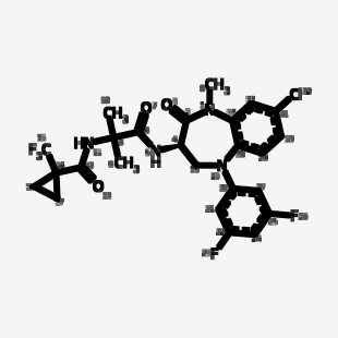 CN1C(=O)[C@H](NC(=O)C(C)(C)NC(=O)C2(C(F)(F)F)CC2)CN(c2cc(F)cc(F)c2)c2ccc(Cl)cc21